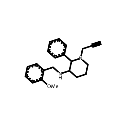 C#CCN1CCCC(NCc2ccccc2OC)C1c1ccccc1